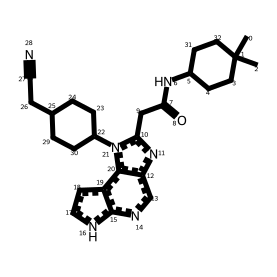 CC1(C)CCC(NC(=O)Cc2nc3cnc4[nH]ccc4c3n2C2CCC(CC#N)CC2)CC1